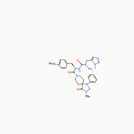 CCCCN1CN(c2ccccc2)C2(CCN(C(=O)[C@@H](Cc3ccc(OC)cc3)NC(=O)C(N)Cc3cncn3C)CC2)C1=O